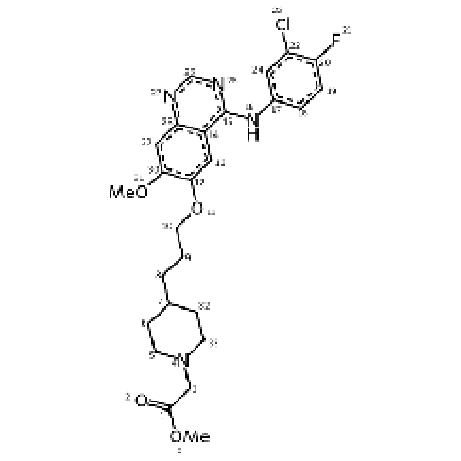 COC(=O)CN1CCC(CCCOc2cc3c(Nc4ccc(F)c(Cl)c4)ncnc3cc2OC)CC1